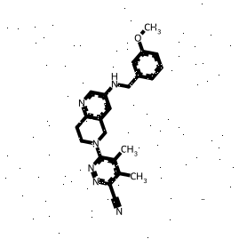 COc1cccc(CNc2cnc3c(c2)CN(c2nnc(C#N)c(C)c2C)CC3)c1